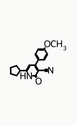 COc1ccc(-c2cc(C3CCCC3)[nH]c(=O)c2C#N)cc1